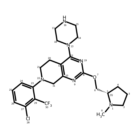 CN1CCC[C@H]1COc1nc2c(c(N3CCNCC3)n1)CCN(c1cccc(Cl)c1C(F)(F)F)C2